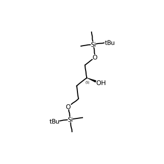 CC(C)(C)[Si](C)(C)OCC[C@H](O)CO[Si](C)(C)C(C)(C)C